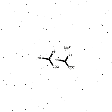 CCCCC(O)C(=O)[O-].CCCCC(O)C(=O)[O-].[Mg+2]